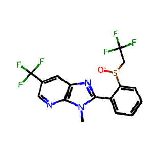 Cn1c(-c2ccccc2[S+]([O-])CC(F)(F)F)nc2cc(C(F)(F)F)cnc21